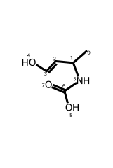 CC(C=CO)NC(=O)O